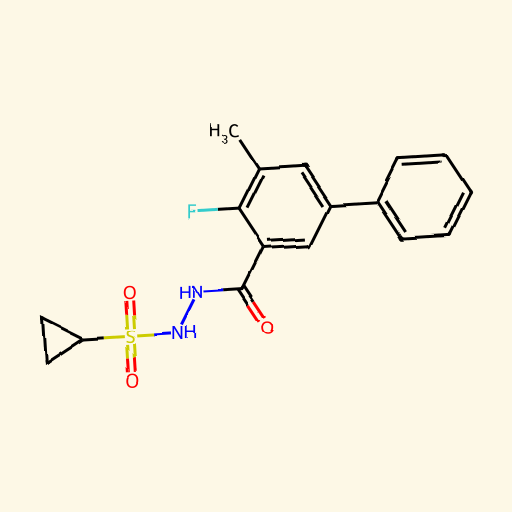 Cc1cc(-c2ccccc2)cc(C(=O)NNS(=O)(=O)C2CC2)c1F